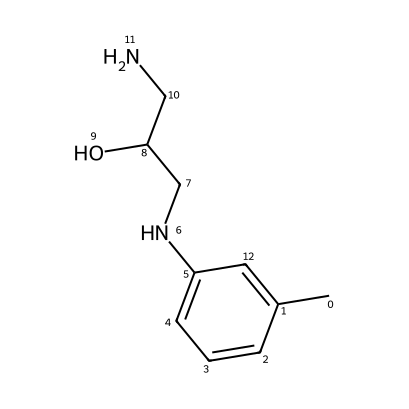 Cc1cccc(NCC(O)CN)c1